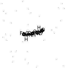 O=C(CC(=O)Nc1ccc(Oc2ccnc(NC(=O)N3CCOCC3)c2)cc1)Nc1ccc(F)cc1